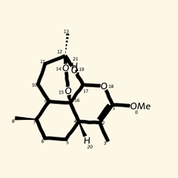 COC1=C(C)[C@@H]2CC[C@@H](C)C3CC[C@]4(C)OO[C@]32[C@H](O1)O4